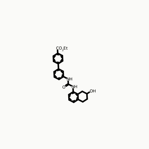 CCOC(=O)c1ccc(-c2cccc(NC(=O)Nc3cccc4c3CC(O)CC4)c2)cc1